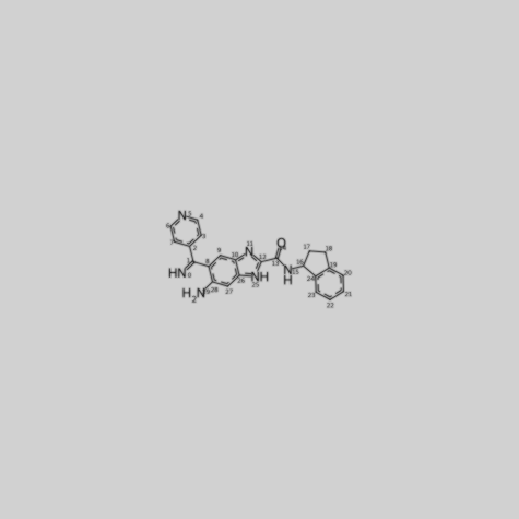 N=C(c1ccncc1)c1cc2nc(C(=O)NC3CCc4ccccc43)[nH]c2cc1N